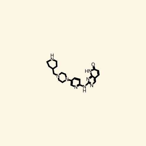 O=c1ccc2cnc(Nc3ccc(N4CCN(CC5CCNCC5)CC4)cn3)nc2[nH]1